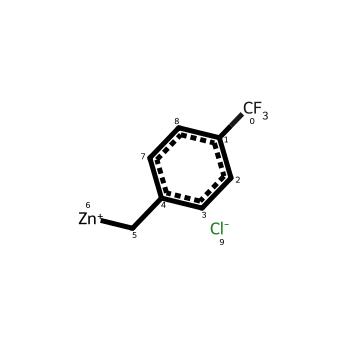 FC(F)(F)c1ccc([CH2][Zn+])cc1.[Cl-]